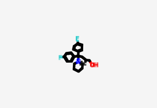 CC(=O)C(CO)CC(c1ccc(F)cc1)(c1ccc(F)cc1)N1CCCCC1